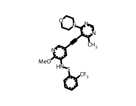 COc1ncc(C#Cc2c(C)ncnc2N2CCOCC2)cc1NSc1ccccc1C(F)(F)F